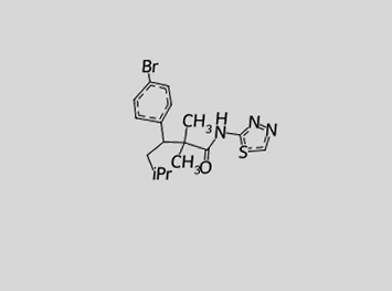 CC(C)CC(c1ccc(Br)cc1)C(C)(C)C(=O)Nc1nncs1